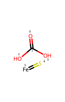 O=C(O)O.[S]=[Fe]